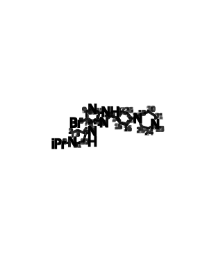 CC(C)N1CCC(Nc2c(Br)cnc3[nH]c(-c4ccc(N5CCCN(C)CC5)cc4)nc23)CC1